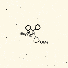 CO[C@H]1CC[C@H](C[C@H](N=C(c2ccccc2)c2ccccc2)C(=O)OC(C)(C)C)CC1